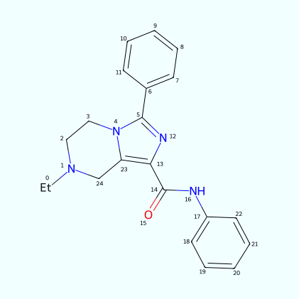 CCN1CCn2c(-c3ccccc3)nc(C(=O)Nc3ccccc3)c2C1